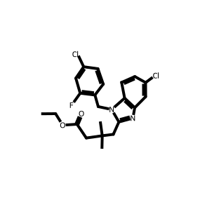 CCOC(=O)CC(C)(C)Cc1nc2cc(Cl)ccc2n1Cc1ccc(Cl)cc1F